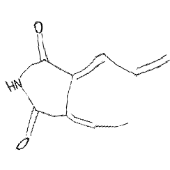 C=C/C=C1/C(=O)NC(=O)/C1=C/C